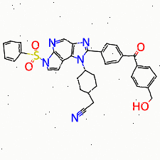 N#CCC1CCC(n2c(-c3ccc(C(=O)c4ccc(CO)cc4)cc3)nc3cnc4c(ccn4S(=O)(=O)c4ccccc4)c32)CC1